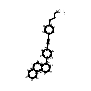 CCCCc1ccc(C#Cc2ccc(-c3cccc4c3ccc3ccccc34)cc2)cc1